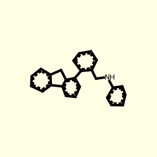 c1ccc(NCc2ccccc2-c2cccc3c2Cc2ccccc2-3)cc1